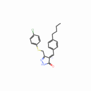 CCCCc1ccc(/C=C2/C(=O)NN=C2CSc2ccc(Cl)cc2)cc1